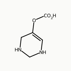 O=C(O)OC1=CNCNC1